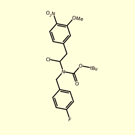 COc1cc(CC(Cl)N(Cc2ccc(F)cc2)C(=O)OC(C)(C)C)ccc1[N+](=O)[O-]